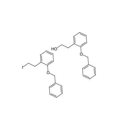 ICCc1ccccc1OCc1ccccc1.OCCc1ccccc1OCc1ccccc1